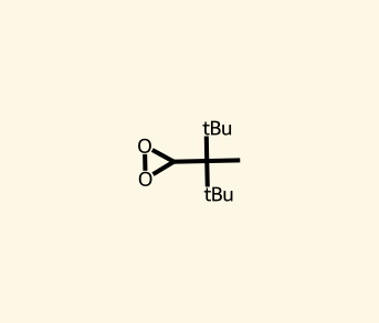 CC(C)(C)C(C)(C1OO1)C(C)(C)C